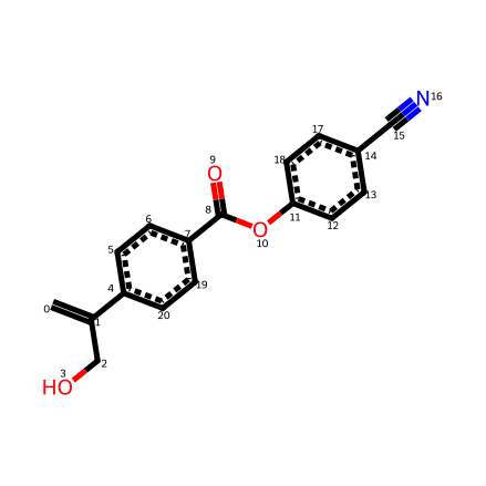 C=C(CO)c1ccc(C(=O)Oc2ccc(C#N)cc2)cc1